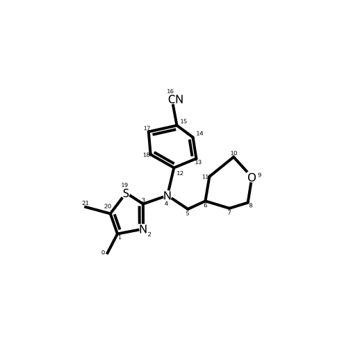 Cc1nc(N(CC2CCOCC2)c2ccc(C#N)cc2)sc1C